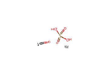 O=S(=O)(O)O.[KH].[O]=[V]